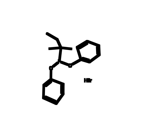 Br.CCC(C)(C)P(Oc1ccccc1)Oc1ccccc1